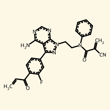 C=CC(=O)c1ccc(-c2nn(CCN(C(=O)C(=C)C#N)c3ccccc3)c3ncnc(N)c23)cc1F